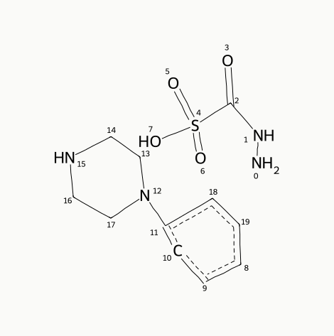 NNC(=O)S(=O)(=O)O.c1ccc(N2CCNCC2)cc1